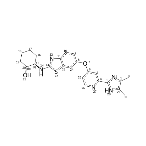 Cc1nc(-c2cc(Oc3ccc4nc(N[C@@H]5CCCC[C@H]5O)sc4c3)ccn2)[nH]c1C